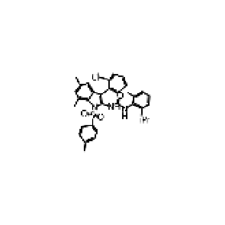 Cc1ccc(S(=O)(=O)n2c(NC(=O)Nc3c(C)cccc3C(C)C)c(-c3ccccc3Cl)c3cc(C)cc(C)c32)cc1